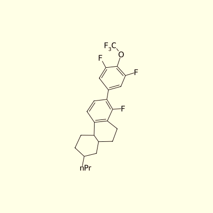 CCCC1CCC2c3ccc(-c4cc(F)c(OC(F)(F)F)c(F)c4)c(F)c3CCC2C1